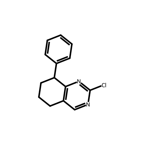 Clc1ncc2c(n1)C(c1ccccc1)CCC2